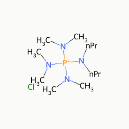 CCCN(CCC)[P+](N(C)C)(N(C)C)N(C)C.[Cl-]